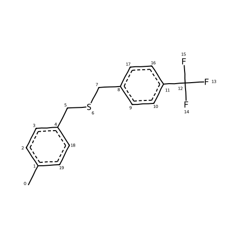 Cc1ccc(CSCc2ccc(C(F)(F)F)cc2)cc1